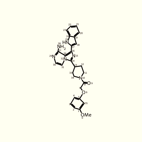 COc1cccc(OCC(=O)N2CCC(c3nc(-c4cc5ccccc5[nH]4)c4c(N)nccn34)CC2)c1